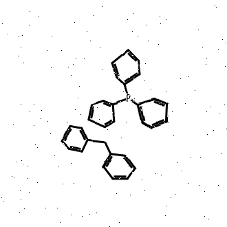 c1ccc(Cc2ccccc2)cc1.c1ccc(P(c2ccccc2)c2ccccc2)cc1